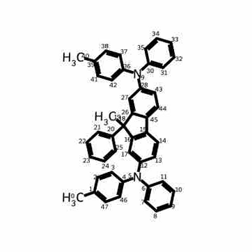 Cc1ccc(N(c2ccccc2)c2ccc3c(c2)C(C)(c2ccccc2)c2cc(N(c4ccccc4)c4ccc(C)cc4)ccc2-3)cc1